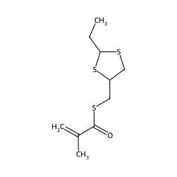 C=C(C)C(=O)SCC1CSC(CC)S1